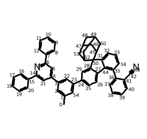 Cc1cc(-c2cc(-c3ccccc3)nc(-c3ccccc3)c2)cc(-c2ccc3c(c2)C2(c4cccc(-c5ccccc5C#N)c4-3)C3CC4CC(C3)CC2C4)c1